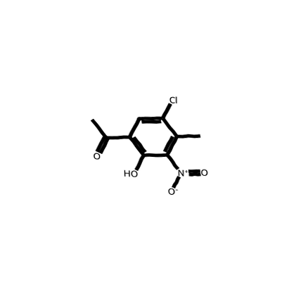 CC(=O)c1cc(Cl)c(C)c([N+](=O)[O-])c1O